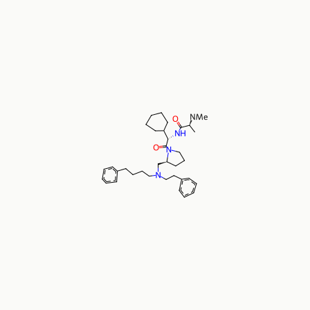 CN[C@@H](C)C(=O)N[C@H](C(=O)N1CCC[C@H]1CN(CCCCc1ccccc1)CCc1ccccc1)C1CCCCC1